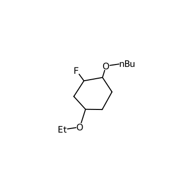 CCCCOC1CCC(OCC)CC1F